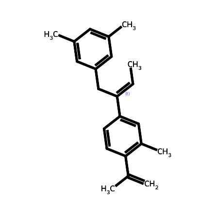 C=C(C)c1ccc(/C(=C/C)Cc2cc(C)cc(C)c2)cc1C